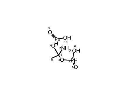 CC(N)(O[PH](=O)O)O[PH](=O)O